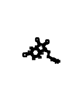 N#CCCN1C(=O)C(=O)c2cc(Cl)ccc21